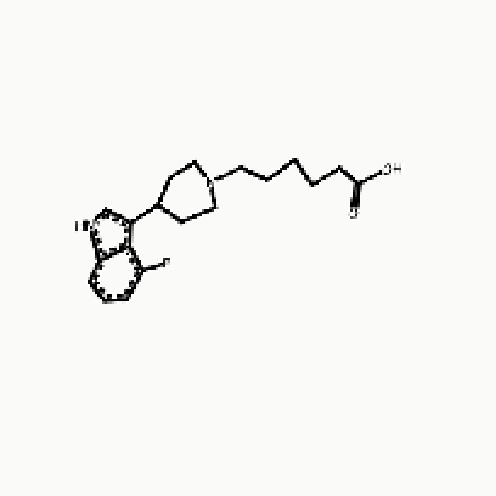 O=C(O)CCCCCN1CCC(c2c[nH]c3cccc(F)c23)CC1